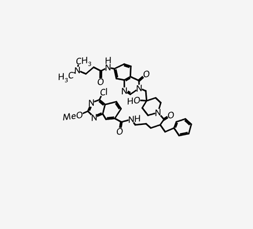 COc1nc(Cl)c2ccc(C(=O)NCCCC(Cc3ccccc3)C(=O)N3CCC(O)(Cn4cnc5cc(NC(=O)CCN(C)C)ccc5c4=O)CC3)cc2n1